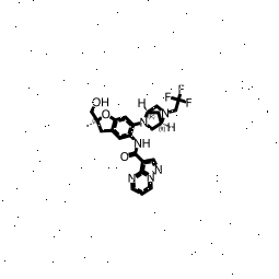 C[C@@]1(CO)Cc2cc(NC(=O)c3cnn4cccnc34)c(N3C[C@H]4C[C@@H]3CN4CC(F)(F)F)cc2O1